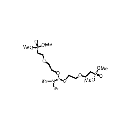 COP(=O)(CCOCCOP(OCCOCCP(=O)(OC)OC)N(C(C)C)C(C)C)OC